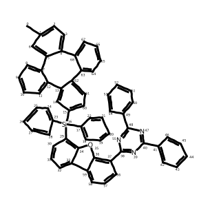 Cc1ccc2c(c1)-c1ccccc1-c1cc([Si](c3ccccc3)(c3ccccc3)c3cccc4c3oc3c(-c5nc(-c6ccccc6)nc(-c6ccccc6)n5)cccc34)ccc1-c1ccccc1-2